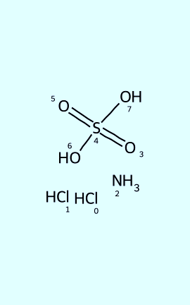 Cl.Cl.N.O=S(=O)(O)O